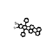 Brc1cc2c(-c3ccccc3)c3c(c(-c4ccccc4)c2cc1Br)-c1ccc2c4cccc5cccc(c6ccc-3c1c62)c54